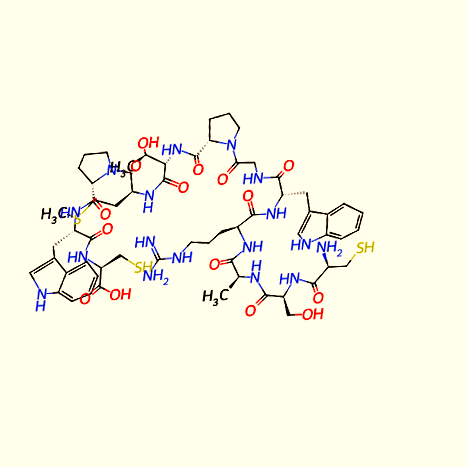 CSCC[C@H](NC(=O)[C@@H](NC(=O)[C@@H]1CCCN1C(=O)CNC(=O)[C@H](Cc1c[nH]c2ccccc12)NC(=O)[C@H](CCCNC(=N)N)NC(=O)[C@H](C)NC(=O)[C@H](CO)NC(=O)[C@@H](N)CS)[C@@H](C)O)C(=O)N1CCC[C@H]1C(=O)N[C@@H](Cc1c[nH]c2ccccc12)C(=O)N[C@@H](CS)C(=O)O